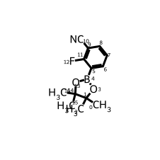 CC1(C)OB(c2cccc(C#N)c2F)OC1(C)C